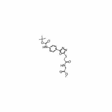 COC(=O)CNC(=O)CSc1nnc(-c2ccc(NC(=O)OC(C)(C)C)cc2)o1